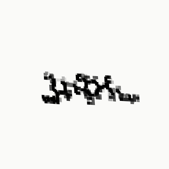 CNc1cc(Cl)cc(COc2c(Cl)cc(C(=O)NCC(=O)O)cc2Cl)c1F